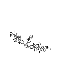 CCC(C)[C@H](OC(N)=O)C(=O)N1CCC[C@H]1c1nc2cc([C@H]3CC[C@H](c4ccc5[nH]c([C@@H]6CCCN6C(=O)[C@@H](NC(=O)OC)C(C)C)nc5c4)N3c3ccc(N4CCCC4)nc3)ccc2[nH]1